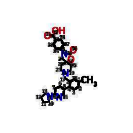 Cc1ccc(-c2ccc(N3CCCC3)nc2)c(CN2CCC3(CC2)CN(c2ccc(C(=O)O)cc2)C(=O)O3)c1